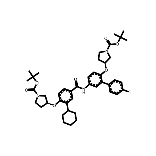 CC(C)(C)OC(=O)N1CC[C@H](Oc2ccc(NC(=O)c3ccc(O[C@H]4CCN(C(=O)OC(C)(C)C)C4)c(C4CCCCC4)c3)cc2-c2ccc(F)cc2)C1